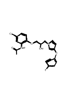 CC(=O)Nc1cc(Cl)ccc1OCC(O)Cn1ccc(Oc2ccc(F)cc2)c1